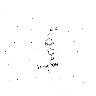 CCCCCCCCCCCCc1cnc(-c2ccc(OC[C@H](O)CCCCC)cc2)nc1